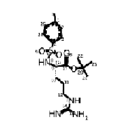 Cc1ccc(S(=O)(=O)N[C@@H](CCCNC(=N)N)C(=O)OC(C)(C)C)cc1